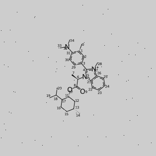 Cc1cc(-c2n([C@H](C)C(=O)O[C@@H]3C[C@H](C)CCC3C(C)C)c3ccccc3[n+]2C)ccc1N(C)C